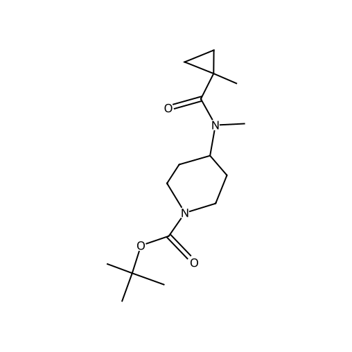 CN(C(=O)C1(C)CC1)C1CCN(C(=O)OC(C)(C)C)CC1